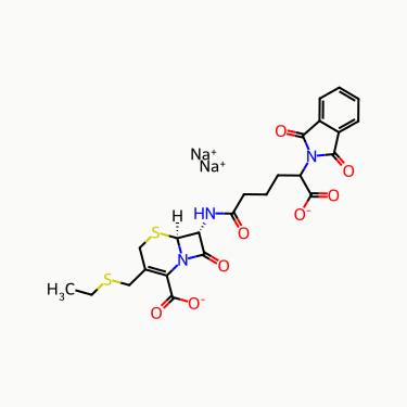 CCSCC1=C(C(=O)[O-])N2C(=O)[C@@H](NC(=O)CCCC(C(=O)[O-])N3C(=O)c4ccccc4C3=O)[C@@H]2SC1.[Na+].[Na+]